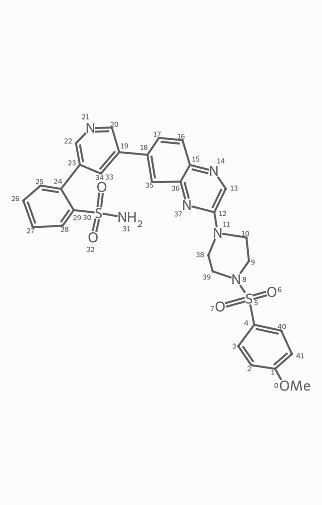 COc1ccc(S(=O)(=O)N2CCN(c3cnc4ccc(-c5cncc(-c6ccccc6S(N)(=O)=O)c5)cc4n3)CC2)cc1